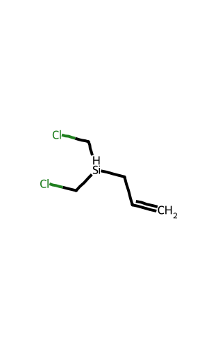 C=CC[SiH](CCl)CCl